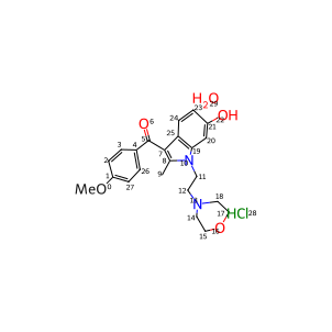 COc1ccc(C(=O)c2c(C)n(CCN3CCOCC3)c3cc(O)ccc23)cc1.Cl.O